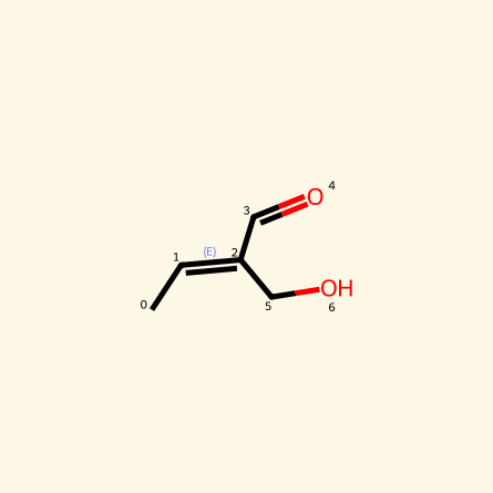 C/C=C(/C=O)CO